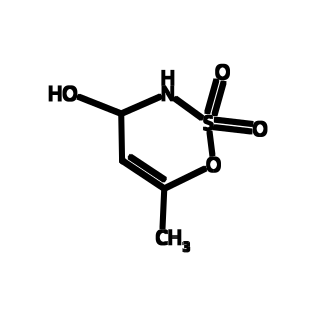 CC1=CC(O)NS(=O)(=O)O1